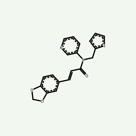 O=C(/C=C/c1ccc2c(c1)OCO2)N(Cc1cccs1)c1cccnc1